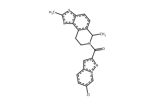 Cc1nc2c3c(ccc2s1)C(C)N(C(=O)c1cc2ccc(Cl)cn2n1)CC3